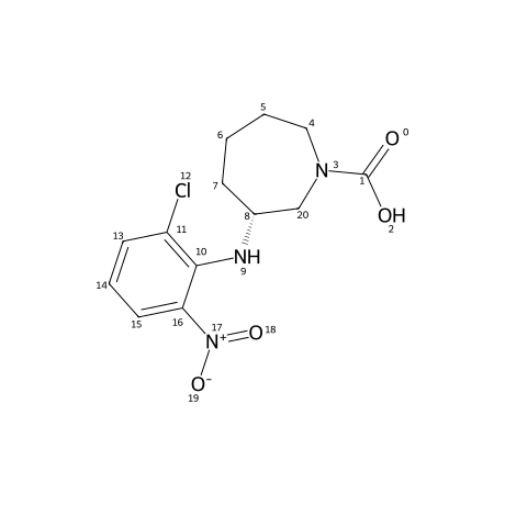 O=C(O)N1CCCC[C@@H](Nc2c(Cl)cccc2[N+](=O)[O-])C1